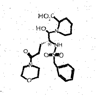 O=C(O)C1CCCCN1C(O)[C@@H](CCC(=O)N1CCOCC1)NS(=O)(=O)Cc1ccccc1